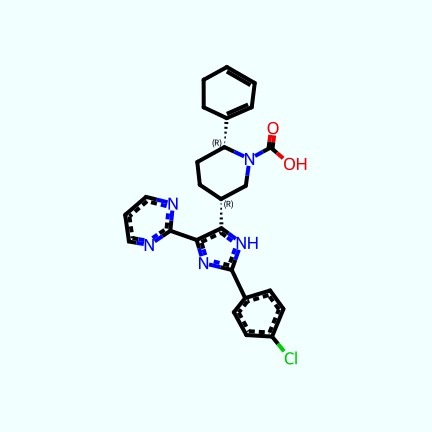 O=C(O)N1C[C@H](c2[nH]c(-c3ccc(Cl)cc3)nc2-c2ncccn2)CC[C@@H]1C1=CC=CCC1